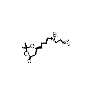 CCN(CCN)CCC/C=C1/CC(=O)OC(C)(C)O1